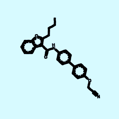 CCCCc1oc2ccccc2c1C(=O)Nc1ccc(-c2ccc(OCC#N)cc2)cc1